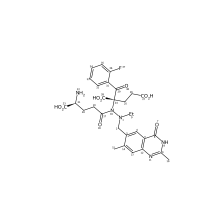 CCN(Cc1cc2c(=O)[nH]c(C)nc2cc1C)N(C(=O)CC[C@H](N)C(=O)O)[C@](CCC(=O)O)(C(=O)O)C(=O)c1ccccc1F